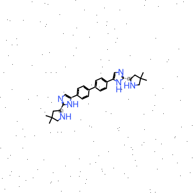 CC1(C)CN[C@H](c2ncc(-c3ccc(-c4ccc(-c5cnc([C@@H]6CC(C)(C)CN6)[nH]5)cc4)cc3)[nH]2)C1